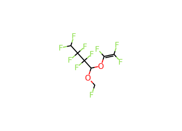 FCOC(OC(F)=C(F)F)C(F)(F)C(F)(F)C(F)F